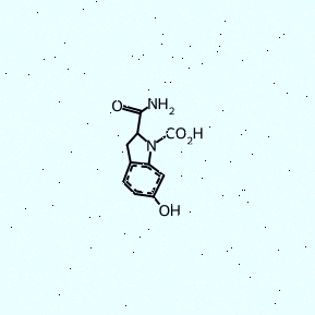 NC(=O)C1Cc2ccc(O)cc2N1C(=O)O